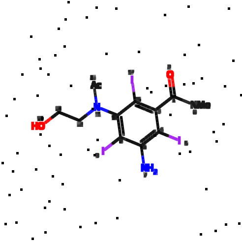 CNC(=O)c1c(I)c(N)c(I)c(N(CCO)C(C)=O)c1I